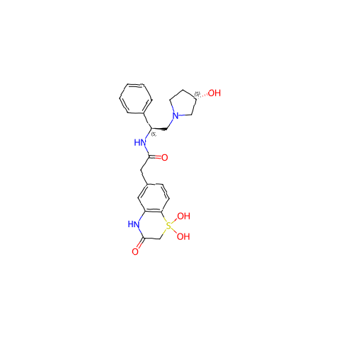 O=C1CS(O)(O)c2ccc(CC(=O)N[C@H](CN3CC[C@H](O)C3)c3ccccc3)cc2N1